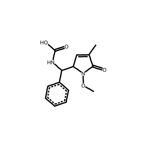 CON1C(=O)C(C)=CC1C(NC(=O)O)c1ccccc1